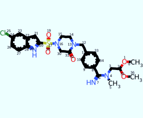 COC(CN(C)C(=N)c1ccc(CN2CCN(S(=O)(=O)c3cc4cc(Cl)ccc4[nH]3)CC2=O)cc1)OC